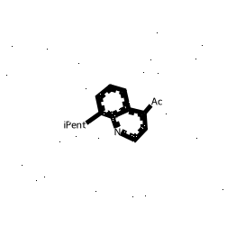 CCCC(C)c1cccc2c(C(C)=O)ccnc12